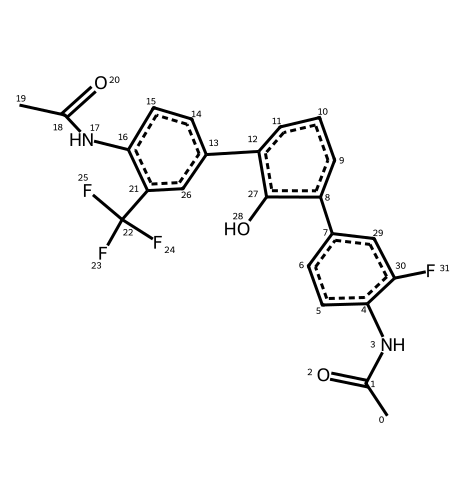 CC(=O)Nc1ccc(-c2cccc(-c3ccc(NC(C)=O)c(C(F)(F)F)c3)c2O)cc1F